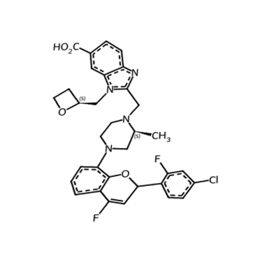 C[C@H]1CN(c2cccc3c2OC(c2ccc(Cl)cc2F)C=C3F)CCN1Cc1nc2ccc(C(=O)O)cc2n1C[C@@H]1CCO1